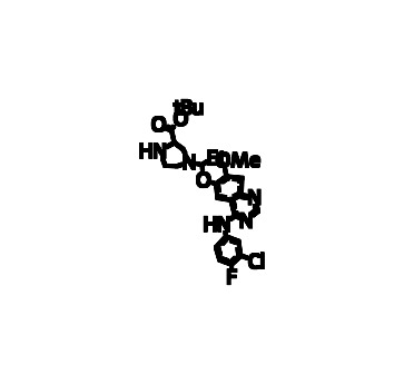 CCC(Oc1cc2c(Nc3ccc(F)c(Cl)c3)ncnc2cc1OC)N1CCNC(C(=O)OC(C)(C)C)C1